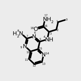 CCCC(Nc1nc(N)nc2cccnc12)C(N)=O